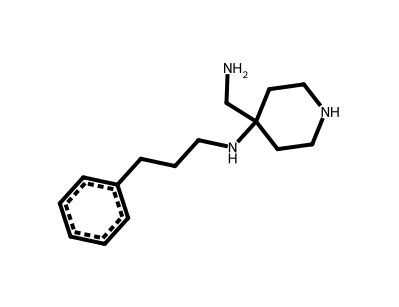 NCC1(NCCCc2ccccc2)CCNCC1